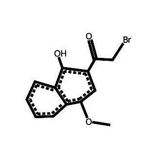 COc1cc(C(=O)CBr)c(O)c2ccccc12